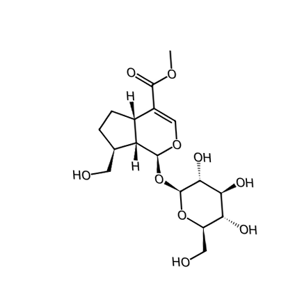 COC(=O)C1=CO[C@@H](O[C@@H]2O[C@H](CO)[C@@H](O)[C@H](O)[C@H]2O)[C@@H]2[C@@H](CO)CC[C@H]12